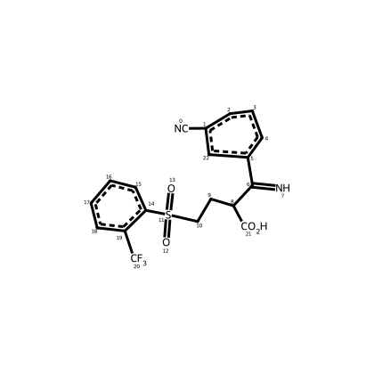 N#Cc1cccc(C(=N)C(CCS(=O)(=O)c2ccccc2C(F)(F)F)C(=O)O)c1